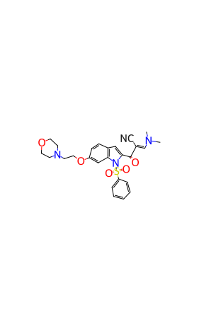 CN(C)/C=C(\C#N)C(=O)c1cc2ccc(OCCN3CCOCC3)cc2n1S(=O)(=O)c1ccccc1